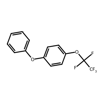 FC(F)(F)C(F)(F)Oc1ccc(Oc2c[c]ccc2)cc1